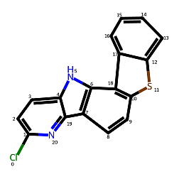 Clc1ccc2[nH]c3c(ccc4sc5ccccc5c43)c2n1